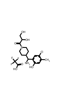 Cc1cc(O)c(C(N)C2CCN(C(=O)C(O)CO)CC2)cc1Cl.O=C(O)C(F)(F)F